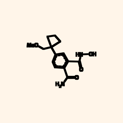 COCC1(c2ccc(C(N)=O)c(C(=O)NO)c2)CCC1